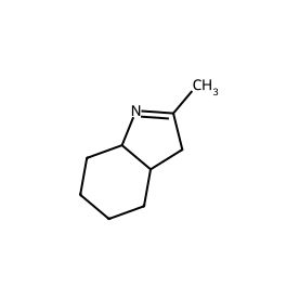 CC1=NC2CCCCC2C1